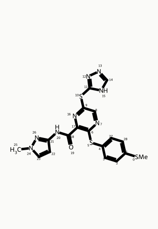 CSc1ccc(Sc2ncc(Sc3nnc[nH]3)nc2C(=O)Nc2ccn(C)n2)cc1